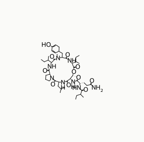 CCC(C)C(=O)N[C@@H](CCC(N)=O)C(=O)N[C@@H]1C(=O)NC(CC(C)C)C(=O)N2CCCC2C(=O)NC(C(C)CC)C(=O)N(C)C(CC2C=CC(O)=CC2)C(=O)N[C@@H](C(C)CC)C(=O)O[C@@H]1C